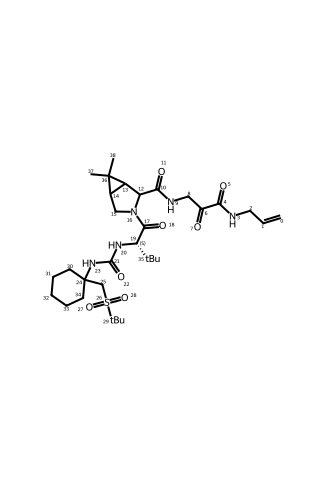 C=CCNC(=O)C(=O)CNC(=O)C1C2C(CN1C(=O)[C@@H](NC(=O)NC1(CS(=O)(=O)C(C)(C)C)CCCCC1)C(C)(C)C)C2(C)C